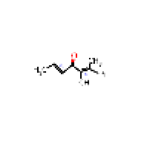 C/C=C/C(=O)/C(C)=C(\C)C(C)C